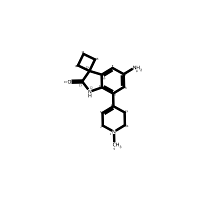 CN1CC=C(c2cc(N)cc3c2NC(=O)C32CCC2)CC1